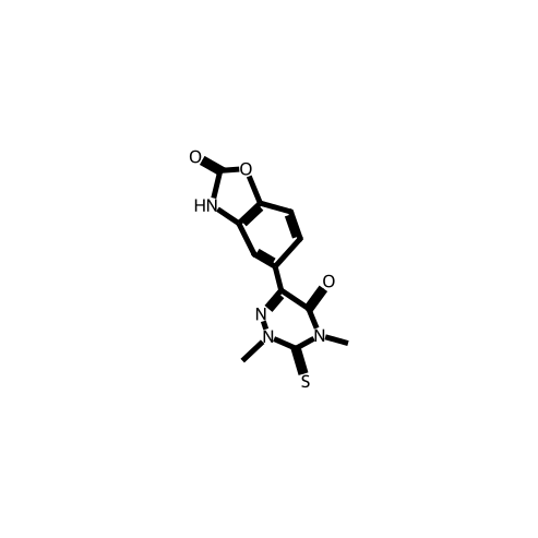 Cn1nc(-c2ccc3oc(=O)[nH]c3c2)c(=O)n(C)c1=S